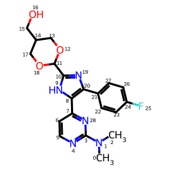 CN(C)c1nccc(-c2[nH]c(C3OCC(CO)CO3)nc2-c2ccc(F)cc2)n1